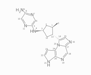 C[C@@H]1C[C@H](Nc2cnc(N)cn2)C[C@H]1c1cnc2cnc3[nH]ccc3n12